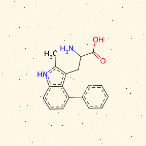 Cc1[nH]c2cccc(-c3ccccc3)c2c1CC(N)C(=O)O